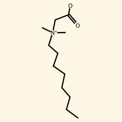 CCCCCCCC[N+](C)(C)CC([O])=O